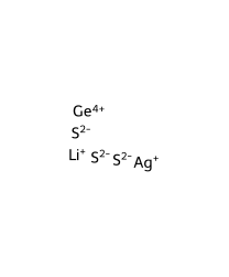 [Ag+].[Ge+4].[Li+].[S-2].[S-2].[S-2]